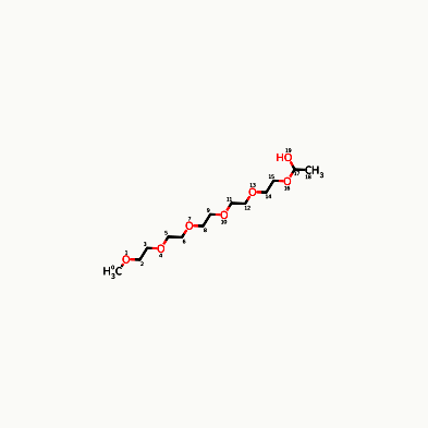 COCCOCCOCCOCCOCCOC(C)O